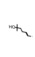 [CH2]C=CCCC(C)(C)O